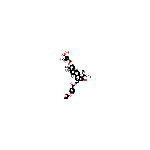 CC(C)C1=C2[C@H]3CC[C@@H]4[C@@]5(C)CC[C@H](OC(=O)[C@H]6C[C@@H](C(=O)O)C6(C)C)C(C)(C)[C@@H]5CC[C@@]4(C)[C@]3(C)CC[C@@]2(CCNC(=O)c2ccc(O[C@H]3CCOC3)cc2)CC1=O